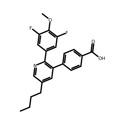 CCCCc1cnc(-c2cc(F)c(OC)c(F)c2)c(-c2ccc(C(=O)O)cc2)c1